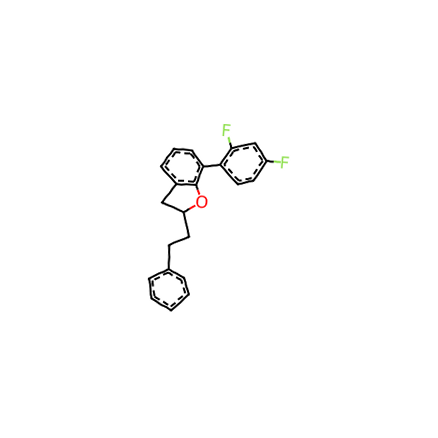 Fc1ccc(-c2cccc3c2OC(CCc2ccccc2)C3)c(F)c1